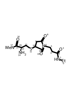 CCNC(=O)CCN1C(=O)CC(SC[C@@H](N)C(=O)NC)C1=O